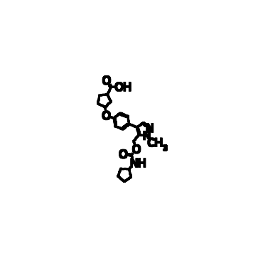 Cn1ncc(-c2ccc(OC3CCC(C(=O)O)C3)cc2)c1COC(=O)NC1CCCC1